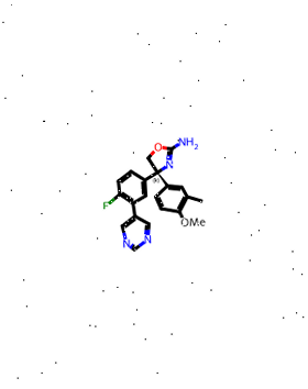 COc1ccc([C@@]2(c3ccc(F)c(-c4cncnc4)c3)COC(N)=N2)cc1C